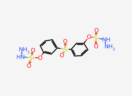 NNS(=O)(=O)Oc1cccc(S(=O)(=O)c2cccc(OS(=O)(=O)NN)c2)c1